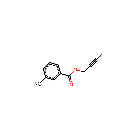 N#Cc1cccc(C(=O)OCC#CI)c1